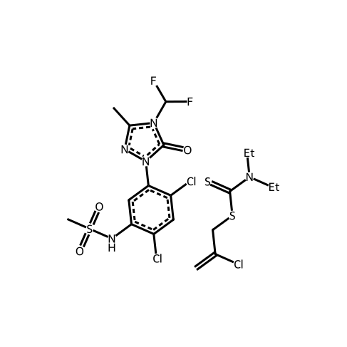 C=C(Cl)CSC(=S)N(CC)CC.Cc1nn(-c2cc(NS(C)(=O)=O)c(Cl)cc2Cl)c(=O)n1C(F)F